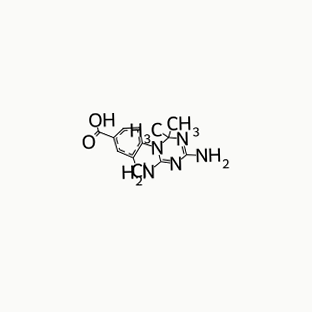 CC1(C)N=C(N)N=C(N)N1c1ccc(C(=O)O)cc1Cl